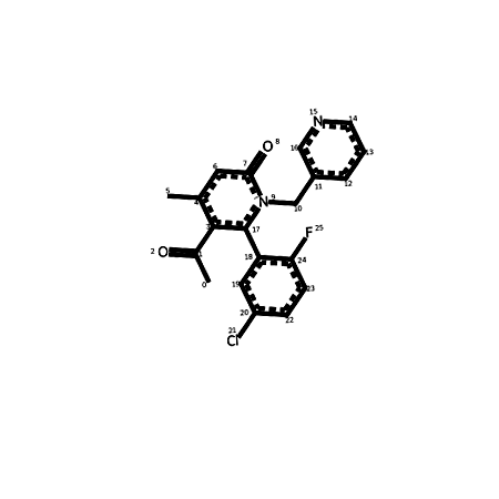 CC(=O)c1c(C)cc(=O)n(Cc2cccnc2)c1-c1cc(Cl)ccc1F